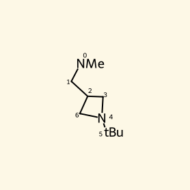 CNCC1CN(C(C)(C)C)C1